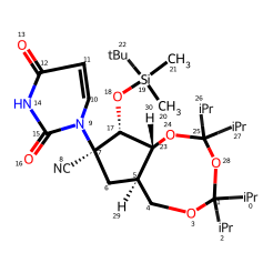 CC(C)C1(C(C)C)OC[C@H]2C[C@@](C#N)(n3ccc(=O)[nH]c3=O)[C@H](O[Si](C)(C)C(C)(C)C)[C@@H]2OC(C(C)C)(C(C)C)O1